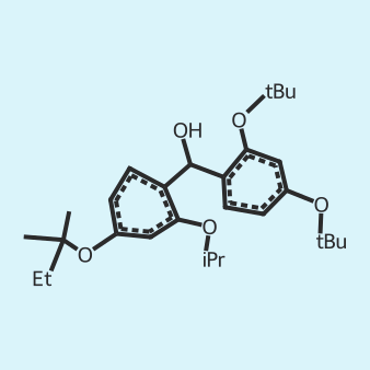 CCC(C)(C)Oc1ccc(C(O)c2ccc(OC(C)(C)C)cc2OC(C)(C)C)c(OC(C)C)c1